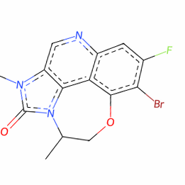 CC1COc2c(Br)c(F)cc3ncc4c(c23)n1c(=O)n4C